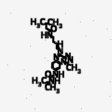 Cc1nnc2c(NCCCCNC(=O)CC(C)C)nc3ccc(NC(=O)NC(C)C)cc3n12